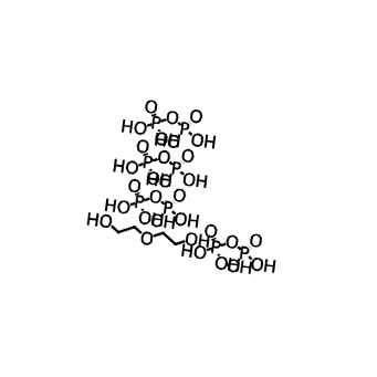 O=P(O)(O)OP(=O)(O)O.O=P(O)(O)OP(=O)(O)O.O=P(O)(O)OP(=O)(O)O.O=P(O)(O)OP(=O)(O)O.OCCOCCO